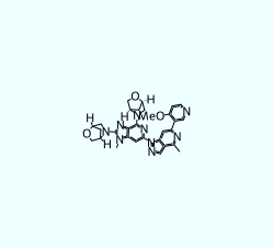 COc1ccncc1-c1cc2c(cnn2-c2cc3c(nc(N4C[C@@H]5C[C@H]4CO5)n3C)c(N3C[C@H]4C[C@@H]3CO4)n2)c(C)n1